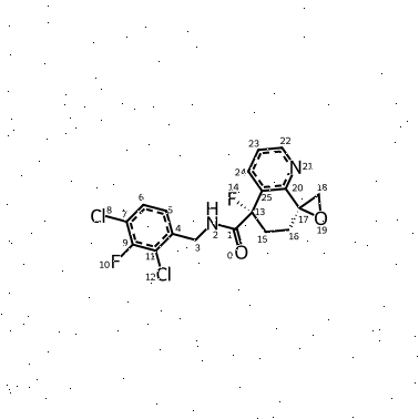 O=C(NCc1ccc(Cl)c(F)c1Cl)[C@]1(F)CC[C@@]2(CO2)c2ncccc21